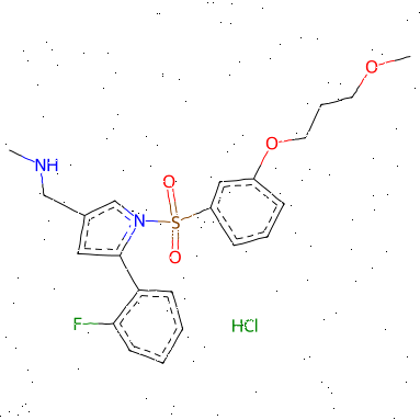 CNCc1cc(-c2ccccc2F)n(S(=O)(=O)c2cccc(OCCCOC)c2)c1.Cl